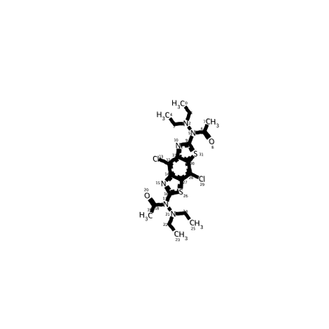 CCN(CC)N(C(C)=O)c1nc2c(Cl)c3nc(N(C(C)=O)N(CC)CC)sc3c(Cl)c2s1